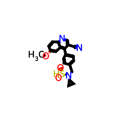 COc1ccc2ncc(C#N)c(-c3ccc(CN(C4CC4)[SH](=O)=O)cc3)c2c1